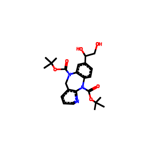 CC(C)(C)OC(=O)N1Cc2cccnc2N(C(=O)OC(C)(C)C)c2ccc(C(O)CO)cc21